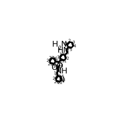 Nc1ccccc1NCc1ccc([C@@H](OC(=O)NCc2cccnc2)c2ccccc2)cc1